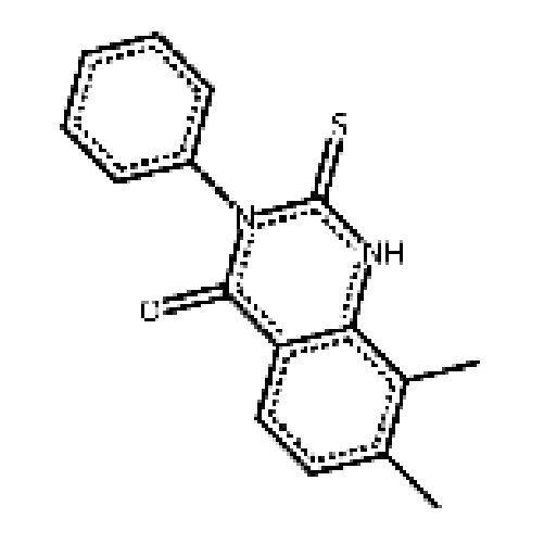 Cc1ccc2c(=O)n(-c3ccccc3)c(=S)[nH]c2c1C